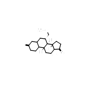 COC[C@@H]1CC2CC(=O)CC[C@]2(C)[C@H]2CC[C@]3(C)C(=O)CC[C@H]3[C@H]12